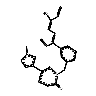 C=C/C(O)=C\N=C(/C=C)c1cccc(Cn2nc(-c3cnn(C)c3)ccc2=O)c1